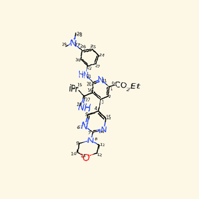 CCOC(=O)c1cc(-c2cnc(N3CCOCC3)nc2)c(C(=N)C(C)C)c(Nc2cccc(N(C)C)c2)n1